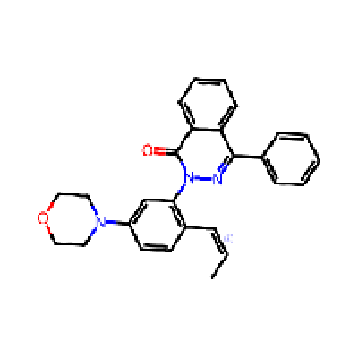 C/C=C\c1ccc(N2CCOCC2)cc1-n1nc(-c2ccccc2)c2ccccc2c1=O